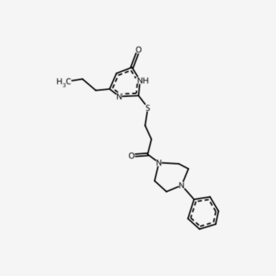 CCCc1cc(=O)[nH]c(SCCC(=O)N2CCN(c3ccccc3)CC2)n1